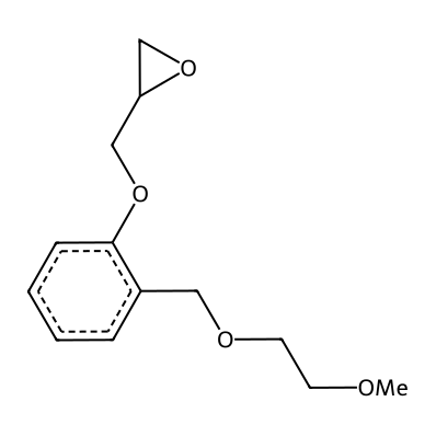 COCCOCc1ccccc1OCC1CO1